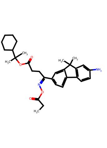 CCC(=O)O/N=C(/CCC(=O)OC(C)(C)C1CCCCC1)c1ccc2c(c1)C(C)(C)c1cc(N)ccc1-2